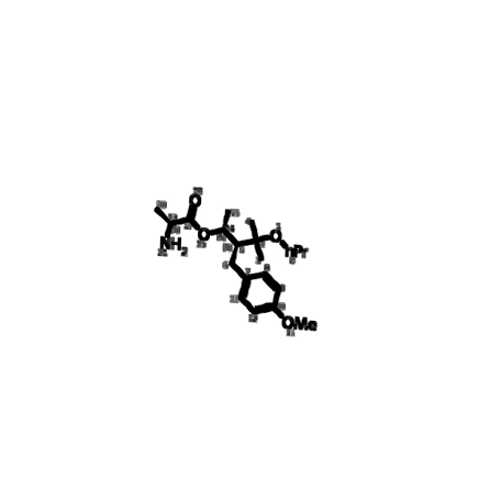 CCCOC(C)(C)[C@@H](Cc1ccc(OC)cc1)[C@H](C)OC(=O)[C@H](C)N